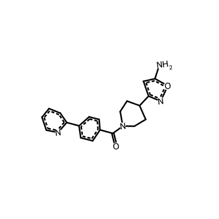 Nc1cc(C2CCN(C(=O)c3ccc(-c4ccccn4)cc3)CC2)no1